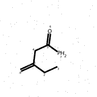 C=C(CC)CC(=O)P